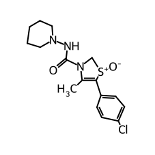 CC1=C(c2ccc(Cl)cc2)[S+]([O-])CN1C(=O)NN1CCCCC1